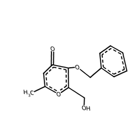 Cc1cc(=O)c(OCc2ccccc2)c(CO)o1